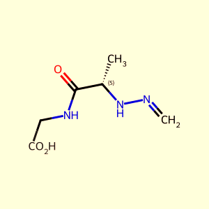 C=NN[C@@H](C)C(=O)NCC(=O)O